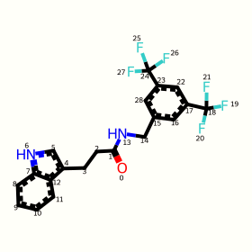 O=C(CCc1c[nH]c2ccccc12)NCc1cc(C(F)(F)F)cc(C(F)(F)F)c1